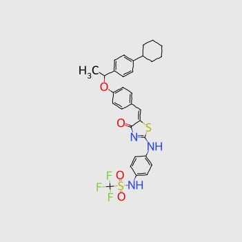 CC(Oc1ccc(/C=C2/SC(Nc3ccc(NS(=O)(=O)C(F)(F)F)cc3)=NC2=O)cc1)c1ccc(C2CCCCC2)cc1